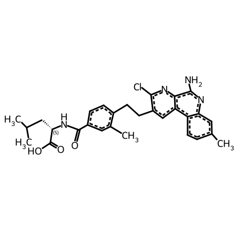 Cc1ccc2c(c1)nc(N)c1nc(Cl)c(CCc3ccc(C(=O)N[C@@H](CC(C)C)C(=O)O)cc3C)cc12